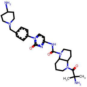 CC(C)(N)C(=O)N1CCCC2C1CCCN2C(=O)Nc1ccn(-c2ccc(CN3CCC(N)CC3)cc2)c(=O)n1